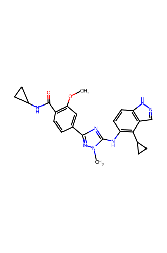 COc1cc(-c2nc(Nc3ccc4[nH]ncc4c3C3CC3)n(C)n2)ccc1C(=O)NC1CC1